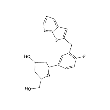 OCC1CC(O)CC(c2ccc(F)c(Cc3cc4ccccc4s3)c2)O1